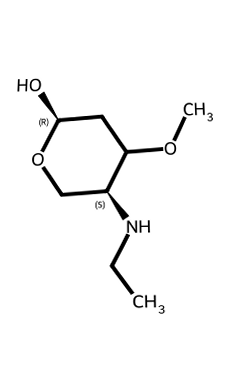 CCN[C@H]1CO[C@@H](O)CC1OC